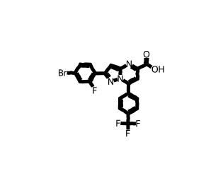 O=C(O)c1cc(-c2ccc(C(F)(F)F)cc2)n2nc(-c3ccc(Br)cc3F)cc2n1